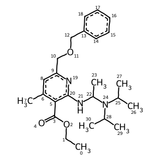 CCOC(=O)c1c(C)cc(COCc2ccccc2)nc1NC(C)N(C(C)C)C(C)C